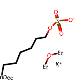 CCCCCCCCCCCCCCCCOS(=O)(=O)[O-].CCOCC.[K+]